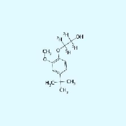 [2H]C([2H])(O)C([2H])([2H])Oc1ccc(C(C)(C)C)cc1OC